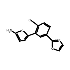 Nc1ccc(-c2cc(-c3ncco3)ccc2Cl)s1